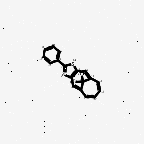 CC(C)C1(C)C2=Cc3nc(-c4ccccc4)sc3C=C1C=CC=C2